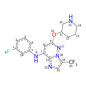 Fc1cccc(Nc2cc(OC3CCCNC3)nn3c(C(F)(F)F)cnc23)c1